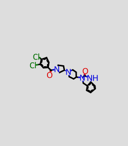 O=C(c1ccc(Cl)c(Cl)c1)N1CC[C@@H](N2CCC(N3Cc4ccccc4NC3=O)CC2)C1